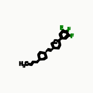 CCCC[C@H]1CC[C@H](/C=C/[C@H]2CC[C@H](c3cc(F)c(F)c(F)c3)CC2)CC1